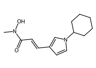 CN(O)C(=O)C=Cc1ccn(C2CCCCC2)c1